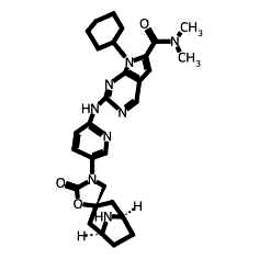 CN(C)C(=O)c1cc2cnc(Nc3ccc(N4C[C@]5(C[C@H]6CC[C@@H](C5)N6)OC4=O)cn3)nc2n1C1CCCCC1